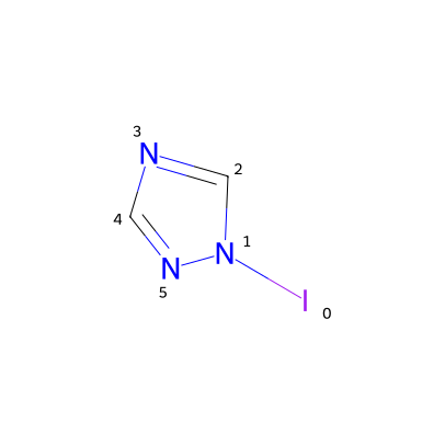 In1cncn1